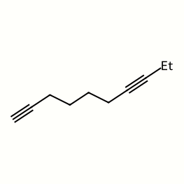 C#CCCCCC#CC[CH2]